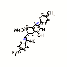 [C-]#[N+]/C(=C\c1cc(CO)c(/C=C(\C#N)c2ccc(C)cc2)cc1OC)c1ccc(C(F)(F)F)cc1